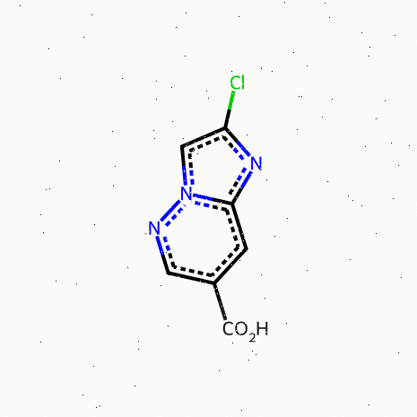 O=C(O)c1cnn2cc(Cl)nc2c1